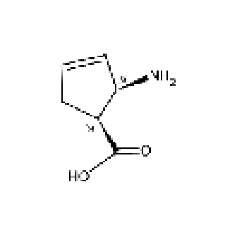 N[C@@H]1C=CC[C@@H]1C(=O)O